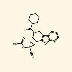 N#CC1(NC(=O)O)CC1.O=C(C1CCCCC1)N1CCc2oc3ncccc3c2C1